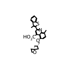 Cc1c(-c2cc(C(=O)O)c3c(OC[C@H]4C[C@]5(CCO5)C4)ccc(C)c3n2)sc2ccccc12